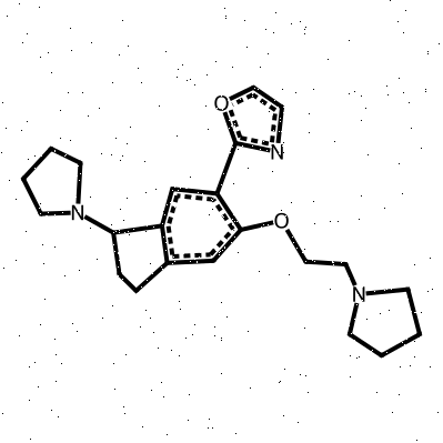 c1coc(-c2cc3c(cc2OCCN2CCCC2)CCC3N2CCCC2)n1